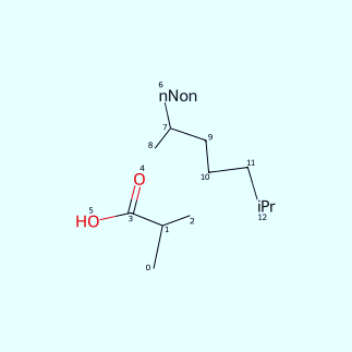 CC(C)C(=O)O.CCCCCCCCCC(C)CCCC(C)C